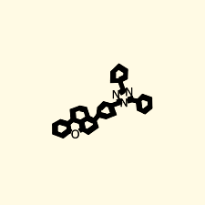 c1ccc(-c2nc(-c3ccccc3)nc(-c3ccc(-c4ccc5c6c(cccc46)-c4ccccc4O5)cc3)n2)cc1